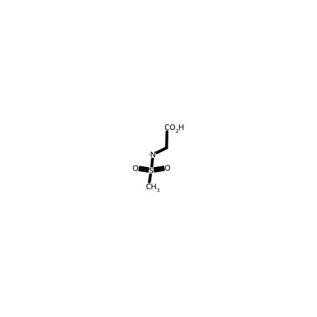 CS(=O)(=O)[N]CC(=O)O